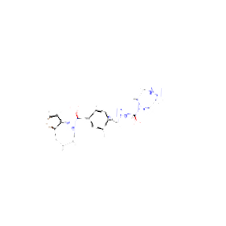 Cc1cc(C(=O)N2CCCCc3sccc32)ccc1CNC(=O)N1CCNCC1